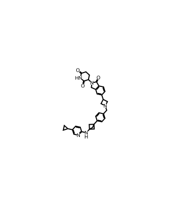 O=C1CCC(N2Cc3cc(C4CN(Cc5ccc(C67CC(Nc8ccc(C9CC9)cn8)(C6)C7)cc5)C4)ccc3C2=O)C(=O)N1